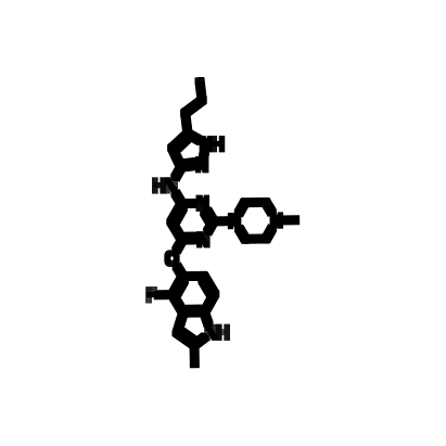 CCCc1cc(Nc2cc(Oc3ccc4[nH]c(C)cc4c3F)nc(N3CCN(C)CC3)n2)n[nH]1